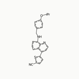 CC(C)Oc1ccc(CNc2cccc3c(-c4ccc(C#N)s4)ccnc23)cc1